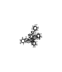 OC(Cc1ccccc1)[C@@H]1S[C@@H](SCc2ccccc2)[C@](O)(Cc2ccccc2)[C@@]1(O)Cc1ccccc1